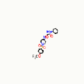 O=C(CON=C1CCN(S(=O)(=O)c2ccc(OC(F)(F)F)cc2)CC1)NC1CCCCC1